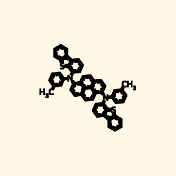 Cc1cccc(N(c2ccc3ccc4c(N(c5cccc(C)c5)c5cccc6c5sc5ccccc56)ccc5ccc2c3c54)c2cccc3c2sc2ccccc23)c1